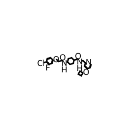 O=C(COc1ccc(Cl)c(F)c1)NC1CCC(C(=O)NCc2cc(OC3CCC3)ccn2)CC1